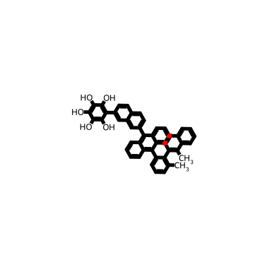 Cc1cccc(-c2c3ccccc3c(-c3ccc4ccc(-c5c(O)c(O)c(O)c(O)c5O)cc4c3)c3ccccc23)c1-c1ccc2ccccc2c1C